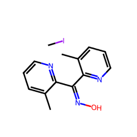 CI.Cc1cccnc1C(=NO)c1ncccc1C